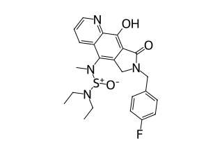 CCN(CC)[S+]([O-])N(C)c1c2c(c(O)c3ncccc13)C(=O)N(Cc1ccc(F)cc1)C2